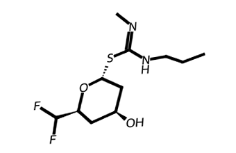 CCCN/C(=N/C)S[C@@H]1C[C@@H](O)C[C@@H](C(F)F)O1